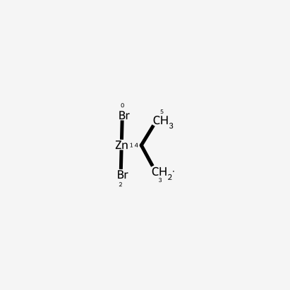 [Br][Zn][Br].[CH2]CC